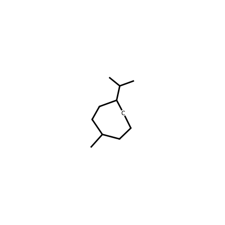 CC1CCCC(C(C)C)CC1